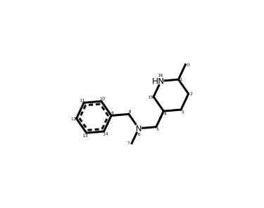 CC1CCC(CN(C)Cc2ccccc2)CN1